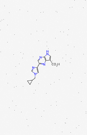 O=C(O)c1c[nH]c2ncc(-c3cn(CC4CC4)cn3)nc12